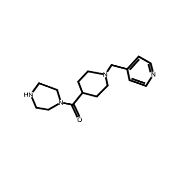 O=C(C1CCN(Cc2ccncc2)CC1)N1CCNCC1